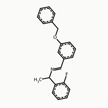 CC(N=Cc1cccc(OCc2ccccc2)c1)c1ccccc1F